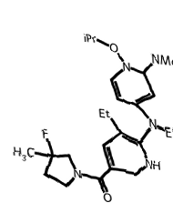 CCC1=C(N(CC)C2=CC(NC)N(OC(C)C)C=C2)NCC(C(=O)N2CCC(C)(F)C2)=C1